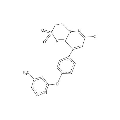 O=S1(=O)CCN2N=C(Cl)C=C(c3ccc(Oc4cc(C(F)(F)F)ccn4)cc3)C2=N1